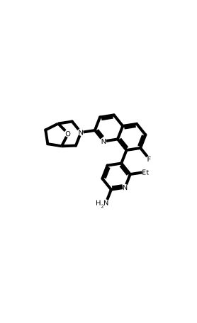 CCc1nc(N)ccc1-c1c(F)ccc2ccc(N3CC4CCC(C3)O4)nc12